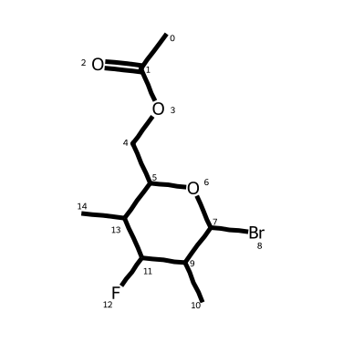 CC(=O)OCC1OC(Br)C(C)C(F)C1C